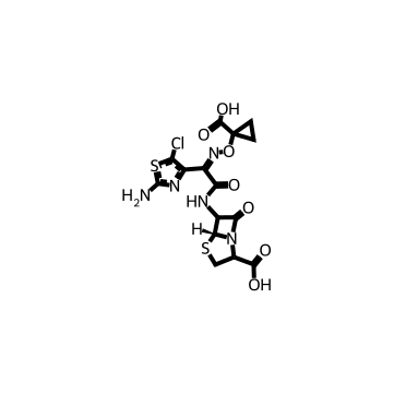 Nc1nc(/C(=N/OC2(C(=O)O)CC2)C(=O)NC2C(=O)N3C(C(=O)O)CS[C@H]23)c(Cl)s1